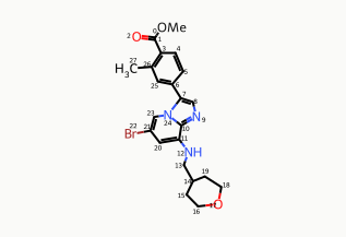 COC(=O)c1ccc(-c2cnc3c(NCC4CCOCC4)cc(Br)cn23)cc1C